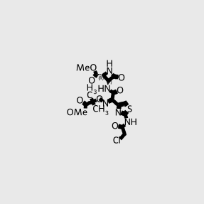 COC(=O)[C@@H]1NC(=O)[C@@H]1NC(=O)C(=NOC(C)(C)C(=O)OC)c1csc(NC(=O)CCl)n1